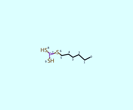 CCCCCCSP(S)S